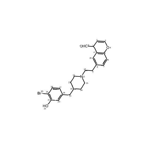 O=CC1C=COc2ccc(CCN3CCC(Cc4ccc(Br)c(O)c4)CC3)cc21